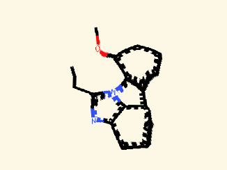 CCc1nc2cccc3c4cccc(OC)c4n1c23